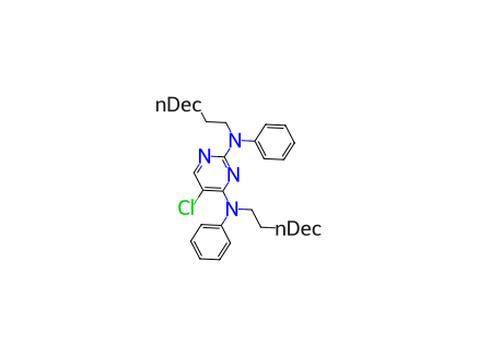 CCCCCCCCCCCCN(c1ccccc1)c1ncc(Cl)c(N(CCCCCCCCCCCC)c2ccccc2)n1